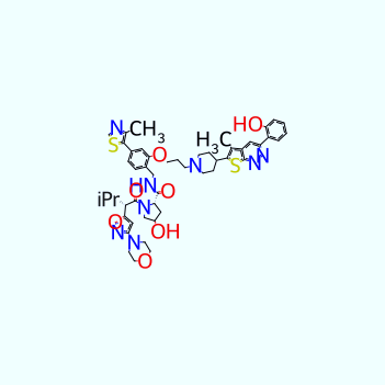 Cc1ncsc1-c1ccc(CNC(=O)[C@@H]2C[C@@H](O)CN2C(=O)[C@H](c2cc(N3CCOCC3)no2)C(C)C)c(OCCCN2CCC(c3sc4nnc(-c5ccccc5O)cc4c3C)CC2)c1